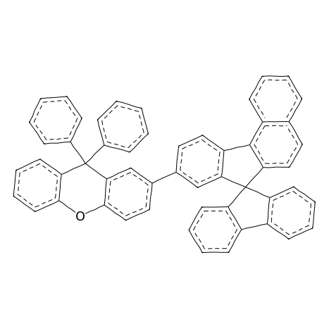 c1ccc(C2(c3ccccc3)c3ccccc3Oc3ccc(-c4ccc5c(c4)C4(c6ccccc6-c6ccccc64)c4ccc6ccccc6c4-5)cc32)cc1